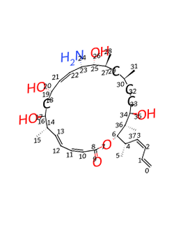 C=C/C=C\[C@H](C)[C@@H]1OC(=O)/C=C\C=C\[C@H](C)[C@@H](O)C[C@H](O)/C=C\[C@H](N)[C@H](O)[C@@H](C)C[C@@H](C)CC[C@@H](O)[C@@H]1C